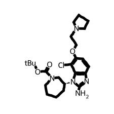 CC(C)(C)OC(=O)N1CCCC[C@@H](n2c(N)nc3ccc(OCCN4CCCC4)c(Cl)c32)C1